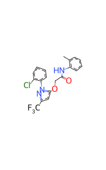 Cc1ccccc1NC(=O)COc1cc(C(F)(F)F)nn1-c1ccccc1Cl